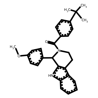 COc1ccc(C2c3[nH]c4ccccc4c3CCN2C(=O)c2ccc(C(C)(C)C)cc2)cc1